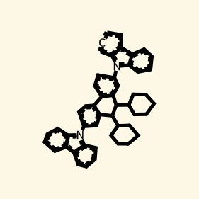 c1ccc2c(c1)c1ccccc1n2-c1ccc2c(c1)C(C1CCCCC1)C(C1CCCCC1)c1cc(-n3c4ccccc4c4ccccc43)ccc1-2